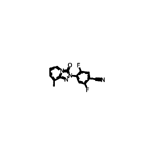 Cc1cccn2c(=O)n(-c3cc(F)c(C#N)cc3F)nc12